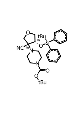 CC(C)(C)OC(=O)N1CCN([C@]2(C#N)COC[C@@H]2O[Si](c2ccccc2)(c2ccccc2)C(C)(C)C)CC1